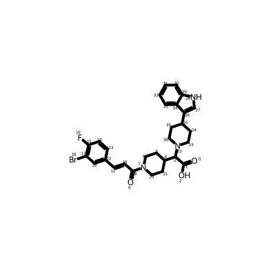 O=C(O)C(C1CCN(C(=O)/C=C/c2ccc(F)c(Br)c2)CC1)N1CCC(c2c[nH]c3ccccc23)CC1